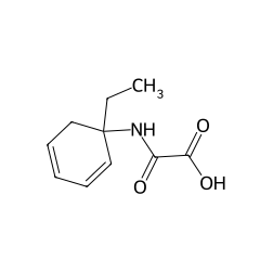 CCC1(NC(=O)C(=O)O)C=CC=CC1